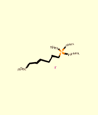 CCCCCCCCCCCCCCCC[P+](CCCCCC)(CCCCCC)CCCCCC.[I-]